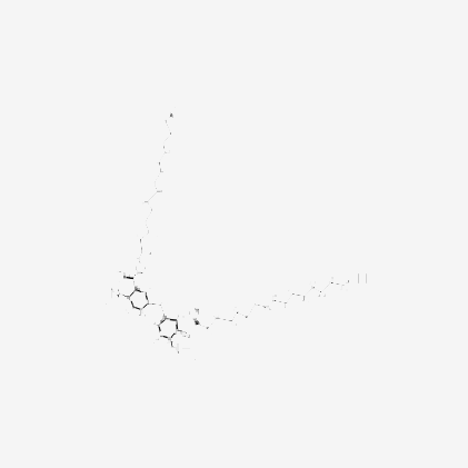 CCCCCCCCCCCCCCCCOC(=O)c1cc(Cc2ccc(N)c(OC(=O)CCCCCCCCCCCCCCCC)c2)ccc1N